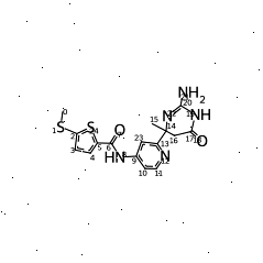 CSc1ccc(C(=O)Nc2ccnc(C3(C)CC(=O)NC(N)=N3)c2)s1